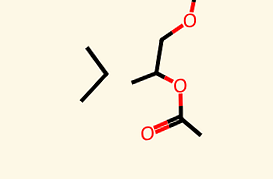 CCC.COCC(C)OC(C)=O